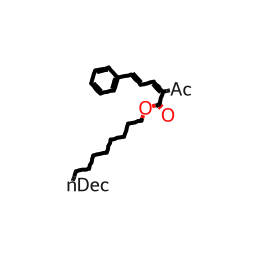 CCCCCCCCCCCCCCCCCCOC(=O)C(=CC=Cc1ccccc1)C(C)=O